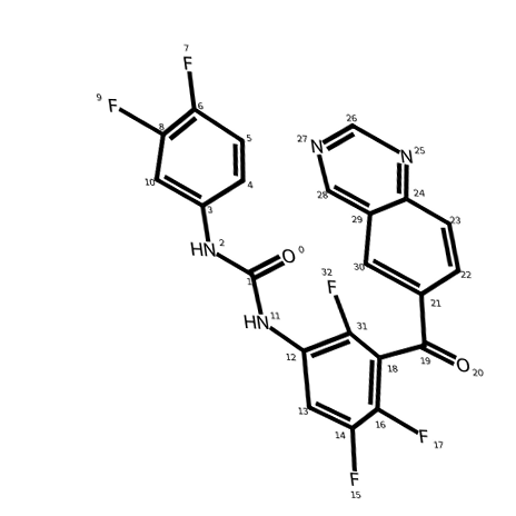 O=C(Nc1ccc(F)c(F)c1)Nc1cc(F)c(F)c(C(=O)c2ccc3ncncc3c2)c1F